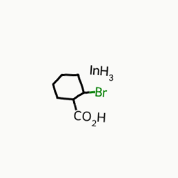 O=C(O)C1CCCCC1Br.[InH3]